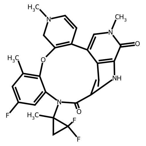 Cc1cc(F)cc2c1OC1=C(C=CN(C)C1)c1cn(C)c(=O)c3[nH]c(cc13)C(=O)N2C1(C)CC1(F)F